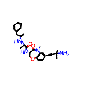 C=C(Cc1ccccc1)N/N=C(\C)C(=O)N[C@H]1COc2ccc(C#CC(C)(C)N)cc2N(C)C1=O